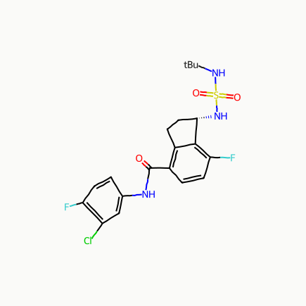 CC(C)(C)NS(=O)(=O)N[C@H]1CCc2c(C(=O)Nc3ccc(F)c(Cl)c3)ccc(F)c21